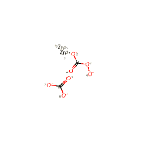 O=C([O-])O[O-].O=C([O-])[O-].[Zn+2].[Zn+2]